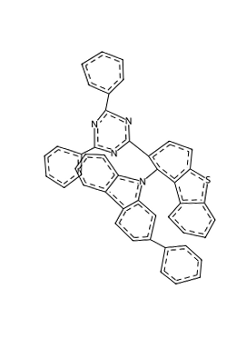 c1ccc(-c2ccc3c4ccccc4n(-c4c(-c5nc(-c6ccccc6)nc(-c6ccccc6)n5)ccc5sc6ccccc6c45)c3c2)cc1